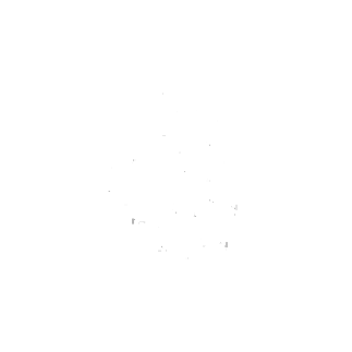 Cc1ccn2cc(N(N)c3nc(NC4CCCC4)ncc3N)cc2c1